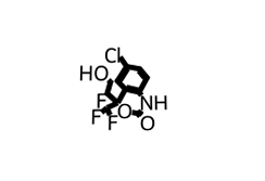 O=C1Nc2ccc(Cl)cc2C(CCO)(C(F)(F)F)O1